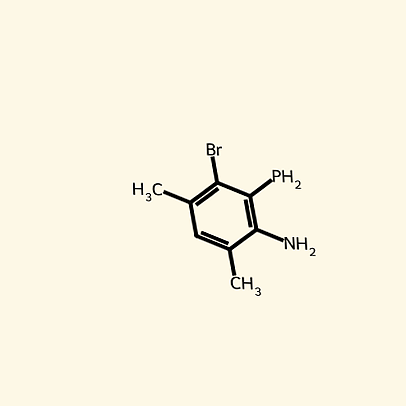 Cc1cc(C)c(Br)c(P)c1N